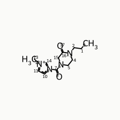 CCCN1CCN(C(=O)n2cc[n+](C)c2)CC1=O